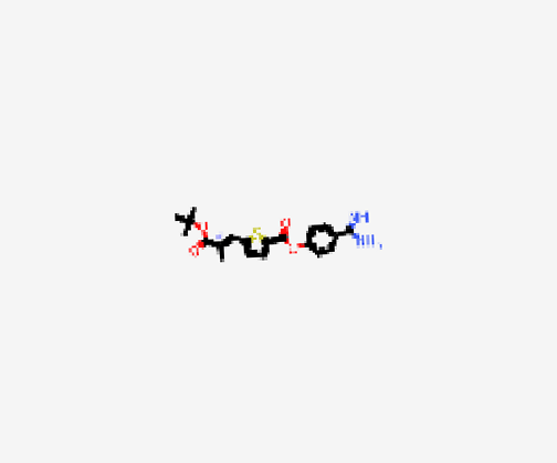 C/C(=C\c1ccc(C(=O)Oc2ccc(C(=N)N)cc2)s1)C(=O)OC(C)(C)C